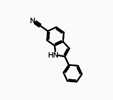 N#Cc1ccc2cc(-c3ccccc3)[nH]c2c1